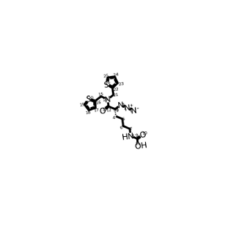 [N-]=[N+]=N[C@H](CCCCNC(=O)O)C(=O)N(Cc1cccs1)Cc1cccs1